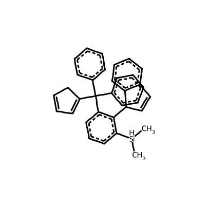 C[SiH](C)c1cccc(C(C2=CC=CC2)(c2ccccc2)c2ccccc2)c1C1C=Cc2ccccc21